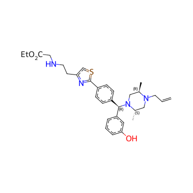 C=CCN1C[C@H](C)N([C@H](c2ccc(-c3nc(CCNCC(=O)OCC)cs3)cc2)c2cccc(O)c2)C[C@H]1C